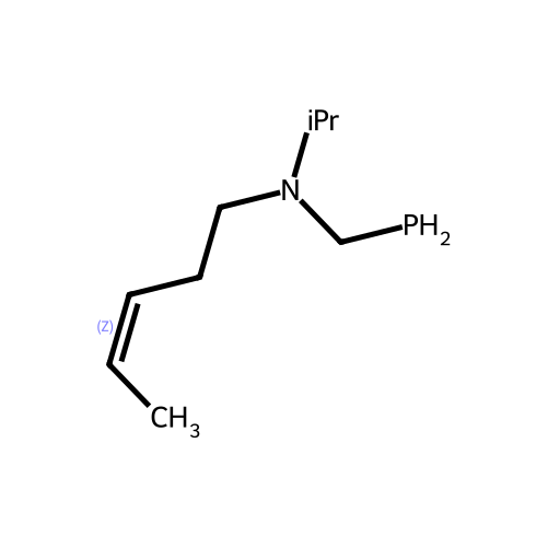 C/C=C\CCN(CP)C(C)C